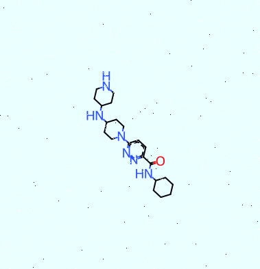 O=C(NC1CCCCC1)c1ccc(N2CCC(NC3CCNCC3)CC2)nn1